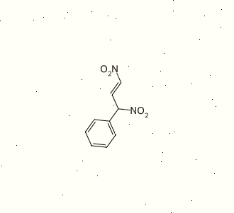 O=[N+]([O-])C=CC(c1ccccc1)[N+](=O)[O-]